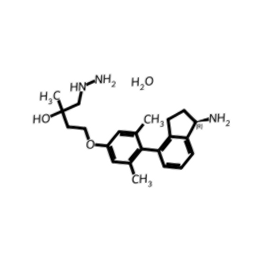 Cc1cc(OCCC(C)(O)CNN)cc(C)c1-c1cccc2c1CC[C@H]2N.O